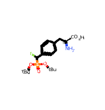 CC(C)(C)OP(=O)(OC(C)(C)C)C(F)c1ccc(C[C@H](N)C(=O)O)cc1